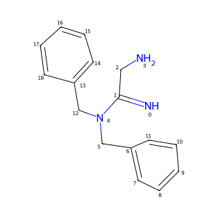 N=C(CN)N(Cc1ccccc1)Cc1ccccc1